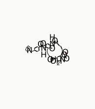 CO[C@H]1/C=C\C=C(/C)C(=O)NC2=CC(=O)C(NC(=O)c3ccc(CN4CCCCC4)cc3)=C(C[C@@H](C)C[C@H](OC)[C@H](O)[C@@H](C)/C=C(\C)[C@@H]1OC(N)=O)C2=O